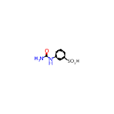 NC(=O)Nc1cccc(S(=O)(=O)O)c1